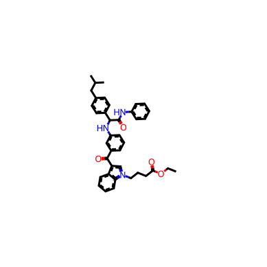 CCOC(=O)CCCn1cc(C(=O)c2cccc(NC(C(=O)Nc3ccccc3)c3ccc(CC(C)C)cc3)c2)c2ccccc21